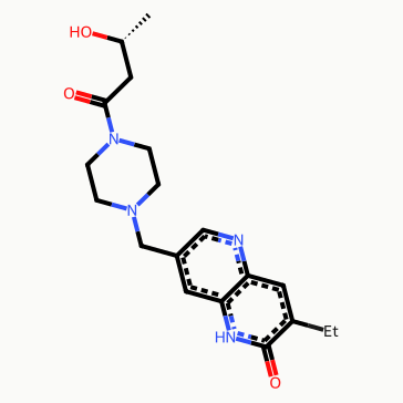 CCc1cc2ncc(CN3CCN(C(=O)C[C@@H](C)O)CC3)cc2[nH]c1=O